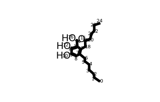 CCCCCCCc1cc(O)c(O)c(C(=O)O)c1CCCCCCC